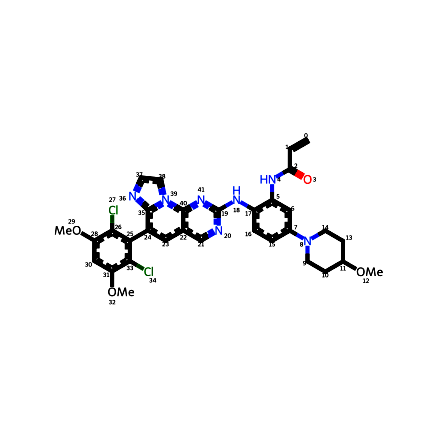 C=CC(=O)Nc1cc(N2CCC(OC)CC2)ccc1Nc1ncc2cc(-c3c(Cl)c(OC)cc(OC)c3Cl)c3nccn3c2n1